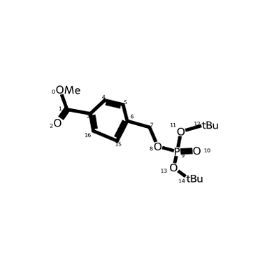 COC(=O)c1ccc(COP(=O)(OC(C)(C)C)OC(C)(C)C)cc1